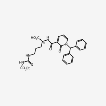 CCOC(=O)NC(=S)NCCC[C@H](NC(=O)c1cccn(C(c2ccccc2)c2ccccc2)c1=O)C(=O)O